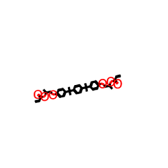 C=CC(=O)OC(C)COc1ccc(C(C)(C)c2ccc(C(C)(C)c3ccc(OCC(C)OC(=O)C=C)cc3)cc2)cc1